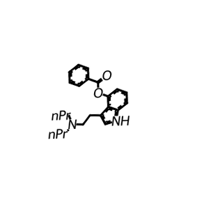 CCCN(CCC)CCc1c[nH]c2cccc(OC(=O)c3ccccc3)c12